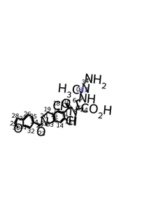 C/C(=N\CN)NC[C@H](NC(=O)c1c(Cl)cc2c(c1Cl)CCN(C(=O)c1ccc3ccoc3c1)C2)C(=O)O